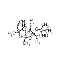 C=C[Si](C)(C)O[Si](C)(C)O[Si](C)(C=C)O[Si](C)(C)C=O